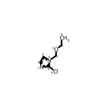 CCOCn1ccnc1Cl